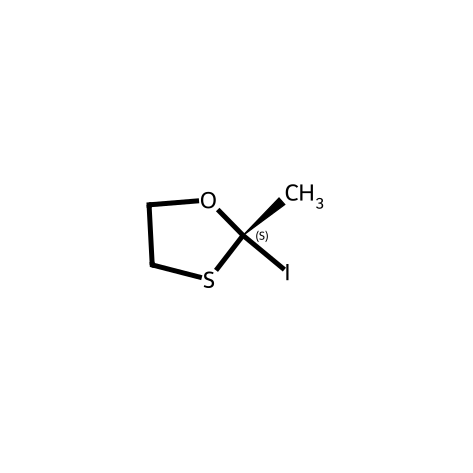 C[C@]1(I)OCCS1